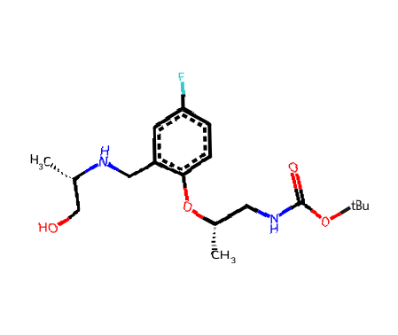 C[C@@H](CO)NCc1cc(F)ccc1O[C@@H](C)CNC(=O)OC(C)(C)C